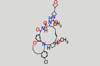 CO[C@H]1/C=C/C[C@H](C)C(NC(=O)N2CC(C3COC3)C2)/[SH](=O)=N\C(=O)c2ccc3c(c2)N(Cc2ccc(Cl)cc2CCCCO3)C[C@@H]2CC[C@H]21